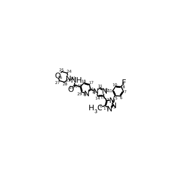 Cc1nnn(-c2ccc(F)cc2)c1-c1cn(-c2ccc(C(=O)NN3CCOCC3)cn2)cn1